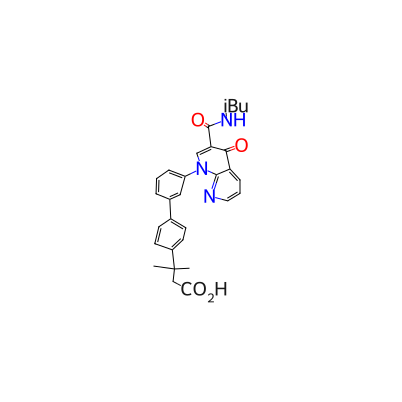 CCC(C)NC(=O)c1cn(-c2cccc(-c3ccc(C(C)(C)CC(=O)O)cc3)c2)c2ncccc2c1=O